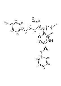 CC(C)C[C@@H](NC(=O)OCc1ccccc1)C(=O)NC(C=O)CSCc1ccc(F)cc1